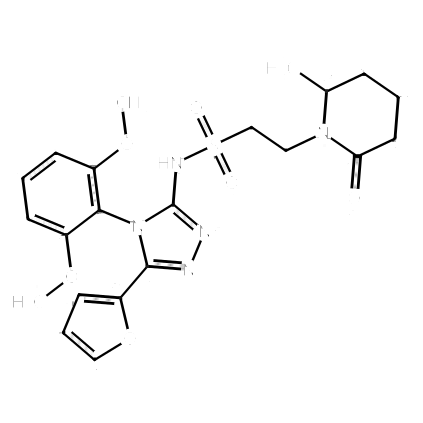 COc1cccc(OC)c1-n1c(NS(=O)(=O)CCN2C(=O)CCCC2C)nnc1-c1ccco1